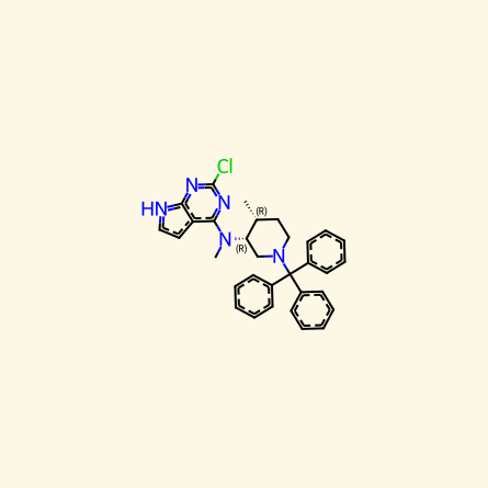 C[C@@H]1CCN(C(c2ccccc2)(c2ccccc2)c2ccccc2)C[C@@H]1N(C)c1nc(Cl)nc2[nH]ccc12